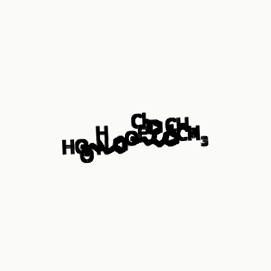 Cc1ccc(CC(CCCOc2ccc(CNCCC(=O)O)cc2)c2cccc(Cl)c2F)cc1C